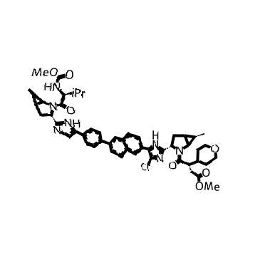 COC(=O)C[C@H](C(=O)N1C2C(C[C@H]1c1nc(Cl)c(-c3ccc4cc(-c5ccc(-c6cnc([C@@H]7CC8C(C)C8N7C(=O)[C@@H](NC(=O)OC)C(C)C)[nH]6)cc5)ccc4c3)[nH]1)[C@H]2C)C1CCOCC1